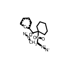 C=[N+]=[N-].[N-]=[N+]=CS(=O)(=O)C1(C(=O)c2ccccc2)CCCCC1